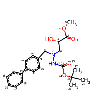 COC(=O)[C@@H](O)CN(Cc1ccc(-c2ccccc2)cc1)NC(=O)OC(C)(C)C